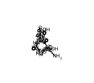 CC(C)[C@@H]1NC(=O)[C@H](NC(=O)[C@H](Cc2ccc(O)cc2)NC(=O)[C@@H]2CCCN2C(=O)[C@@H]2CCC(=O)N2)n2cc(c3ccccc32)C[C@@H](C(=O)N[C@@H](CCCCN)C(=O)O)NC(=O)[C@H](CO)NC(=O)[C@H](Cc2ccccc2)NC1=O